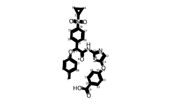 Cc1ccc(OC(C(=O)Nc2ncc(Oc3ccc(C(=O)O)cc3)s2)c2ccc(S(=O)(=O)C3CC3)cc2)cc1